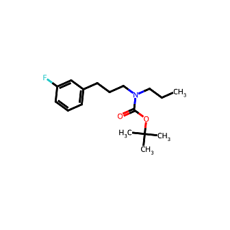 CCCN(CCCc1cccc(F)c1)C(=O)OC(C)(C)C